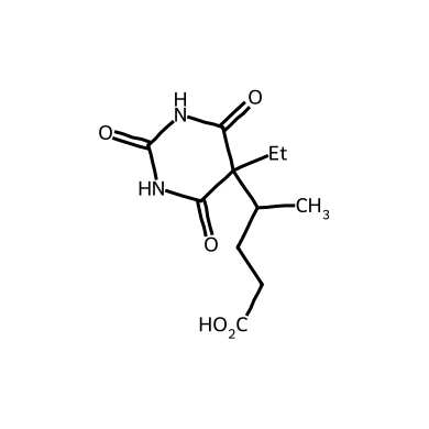 CCC1(C(C)CCC(=O)O)C(=O)NC(=O)NC1=O